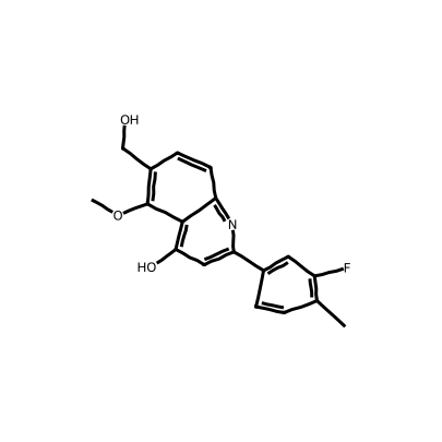 COc1c(CO)ccc2nc(-c3ccc(C)c(F)c3)cc(O)c12